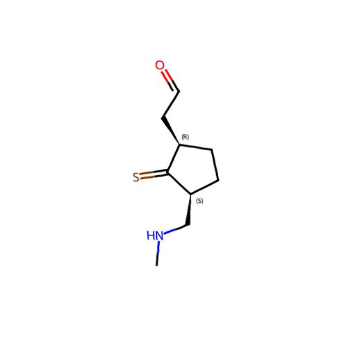 CNC[C@@H]1CC[C@H](CC=O)C1=S